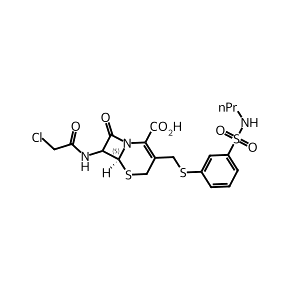 CCCNS(=O)(=O)c1cccc(SCC2=C(C(=O)O)N3C(=O)C(NC(=O)CCl)[C@@H]3SC2)c1